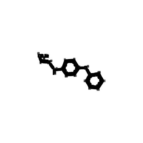 CCOC(=O)C=NNc1ccc(Oc2ccccc2)cc1